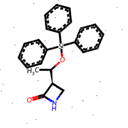 CC(O[Si](c1ccccc1)(c1ccccc1)c1ccccc1)[C@H]1CNC1=O